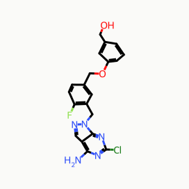 Nc1nc(Cl)nc2c1cnn2Cc1cc(COc2cccc(CO)c2)ccc1F